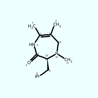 CC1=C(C)NC(=O)[C@H](CC(C)C)N(C)C1